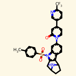 Cc1ccc(S(=O)(=O)n2c3c(c4ccc(-n5ccc(-c6ccc(C(F)(F)F)nc6)cc5=O)cc42)C2CCC(C3)N2)cc1